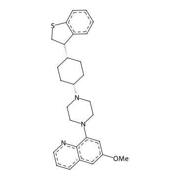 COc1cc(N2CCN([C@H]3CC[C@@H](C4CSc5ccccc54)CC3)CC2)c2ncccc2c1